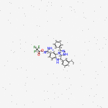 CCc1cccc(C(Nc2ccc(C(N)=NOC(=O)C(F)(F)F)cc2)c2nc(-c3ccccc3)n[nH]2)c1